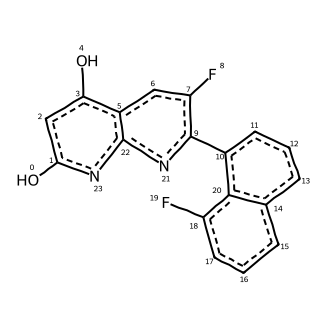 Oc1cc(O)c2cc(F)c(-c3cccc4cccc(F)c34)nc2n1